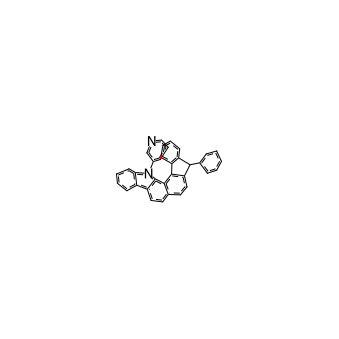 c1ccc(C2c3ccccc3-c3c2ccc2ccc4c5ccccc5n(-c5cccnc5)c4c32)cc1